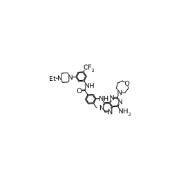 CCN1CCN(c2cc(NC(=O)c3ccc(C)c(Nc4ncnc5c(N)nc(N6CCCOCC6)nc45)c3)cc(C(F)(F)F)c2)CC1